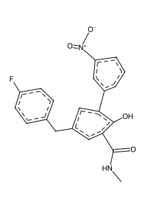 CNC(=O)c1cc(Cc2ccc(F)cc2)cc(-c2cccc([N+](=O)[O-])c2)c1O